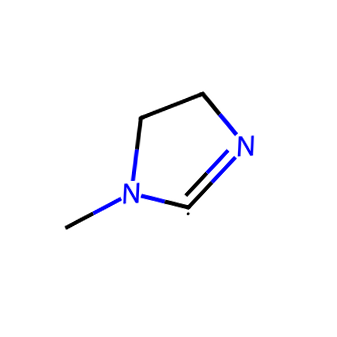 CN1[C]=NCC1